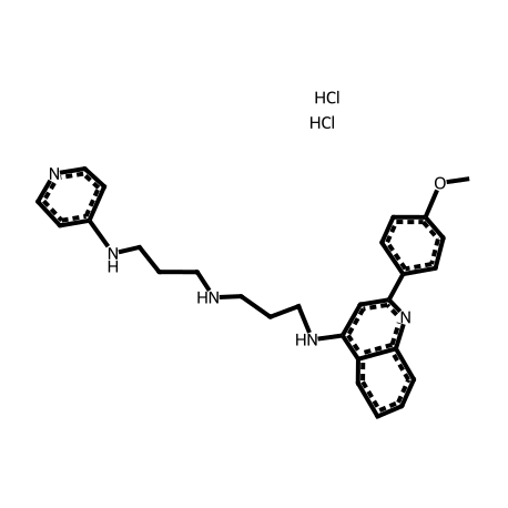 COc1ccc(-c2cc(NCCCNCCCNc3ccncc3)c3ccccc3n2)cc1.Cl.Cl